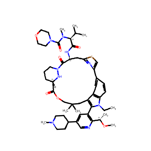 CCn1c(-c2cc(C3CCN(C)CC3)cnc2[C@H](C)OC)c2c3cc(ccc31)-c1csc(n1)C[C@H](NC(=O)[C@H](C(C)C)N(C)C(=O)N1CCOCC1)C(=O)N1CCC[C@H](N1)C(=O)OCC(C)(C)C2